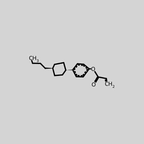 C=CC(=O)Oc1ccc([C@H]2CC[C@H](CCCC)CC2)cc1